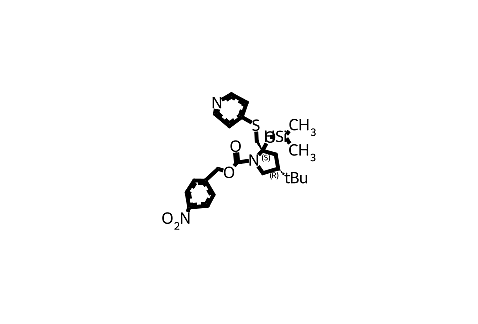 C[SiH](C)O[C@]1(CSc2ccncc2)C[C@H](C(C)(C)C)CN1C(=O)OCc1ccc([N+](=O)[O-])cc1